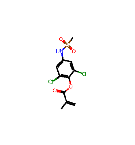 C=C(C)C(=O)Oc1c(Cl)cc(NS(C)(=O)=O)cc1Cl